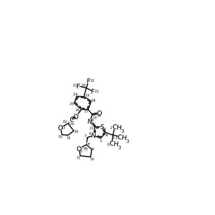 CC(C)(C)c1cn(C[C@H]2CCCO2)/c(=N/C(=O)c2cc(C(F)(F)F)ccc2OC[C@@H]2CCCO2)s1